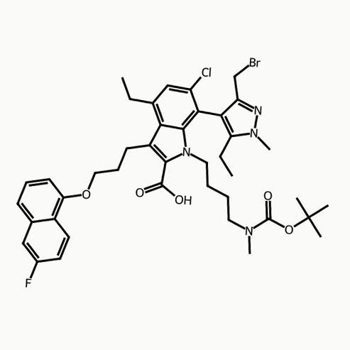 CCc1cc(Cl)c(-c2c(CBr)nn(C)c2CC)c2c1c(CCCOc1cccc3cc(F)ccc13)c(C(=O)O)n2CCCCN(C)C(=O)OC(C)(C)C